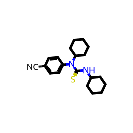 N#Cc1ccc(N(C(=S)NC2CCCCC2)C2CCCCC2)cc1